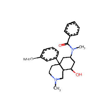 COc1cccc(C23CCN(C)CC2C(O)CC(N(C)C(=O)c2ccccc2)C3)c1